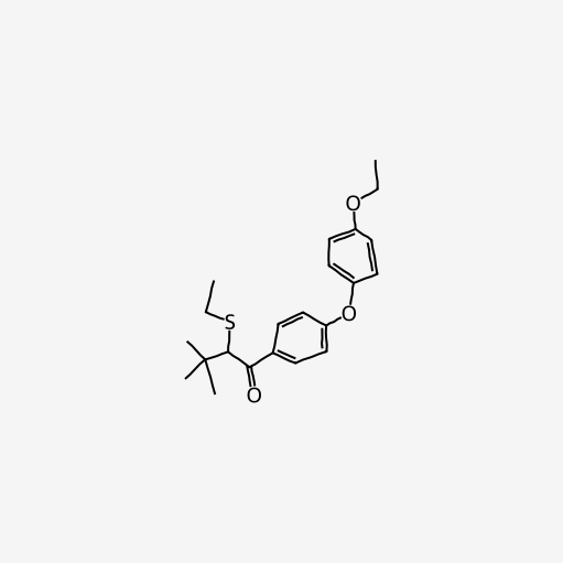 CCOc1ccc(Oc2ccc(C(=O)C(SCC)C(C)(C)C)cc2)cc1